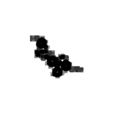 COc1ccc2c(c1)OCCn1c-2c(C2CCCCC2)c2ccc(C(=O)N[C@@H](Cc3ccc(O)cc3)C3=NCCN3)cc21